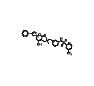 CCC[C@@]1(CCc2ccccc2)CC(O)=C(CC(C)(C)Cc2cccc(NS(=O)(=O)c3cc(C(F)(F)F)ccn3)c2)C(=O)O1